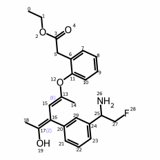 CCOC(=O)Cc1ccccc1O/C(C)=C/C(=C(\C)O)c1cccc(C(N)CF)c1